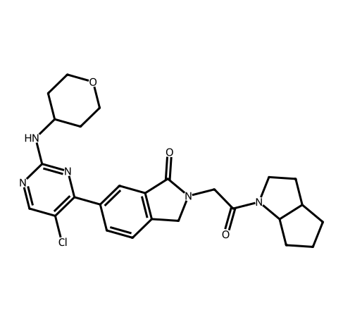 O=C1c2cc(-c3nc(NC4CCOCC4)ncc3Cl)ccc2CN1CC(=O)N1CCC2CCCC21